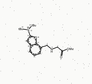 COC(=O)CNCc1cccc2cc([SiH](C(C)(C)C)C(C)(C)C)sc12